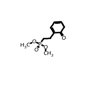 COP(=O)(CCC1=CC=CCC1=O)OC